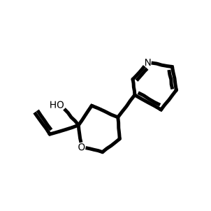 C=CC1(O)CC(c2cccnc2)CCO1